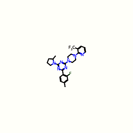 Cc1ccc(-c2nc(N3CCN(c4ncccc4C(F)(F)F)CC3)nc(N3CCCC3C)n2)c(F)c1